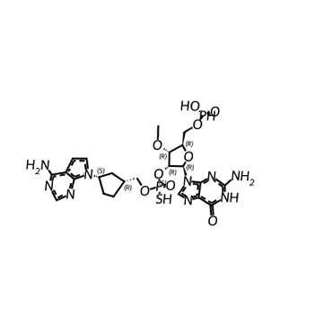 CO[C@H]1[C@@H](O[P@@](=O)(S)OC[C@@H]2CC[C@H](n3ccc4c(N)ncnc43)C2)[C@H](n2cnc3c(=O)[nH]c(N)nc32)O[C@@H]1CO[PH](=O)O